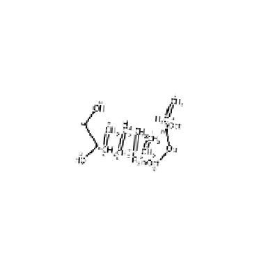 C=C.C=C.C=C.C=C.C=C.CCCCCCCCOCCCCCCCC.OCCO